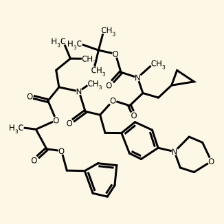 CC(C)CC(C(=O)OC(C)C(=O)OCc1ccccc1)N(C)C(=O)C(Cc1ccc(N2CCOCC2)cc1)OC(=O)C(CC1CC1)N(C)C(=O)OC(C)(C)C